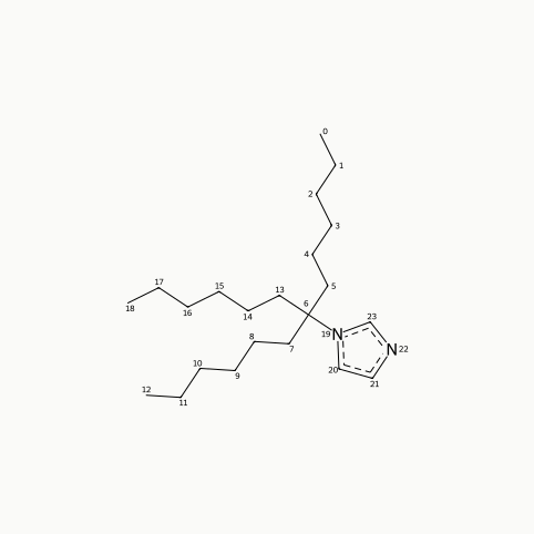 CCCCCCC(CCCCCC)(CCCCCC)n1ccnc1